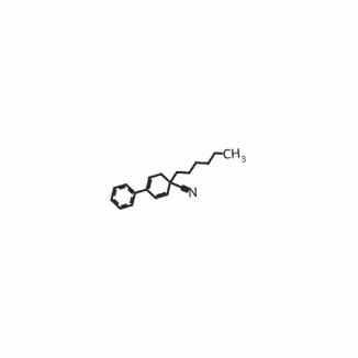 CCCCCCC1(C#N)C=CC(c2ccccc2)=CC1